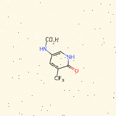 O=C(O)Nc1c[nH]c(=O)c(C(F)(F)F)c1